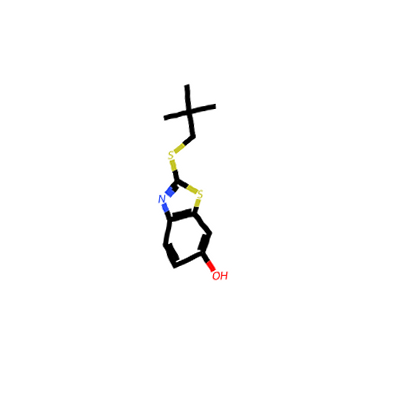 CC(C)(C)CSc1nc2ccc(O)cc2s1